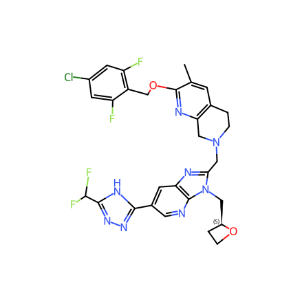 Cc1cc2c(nc1OCc1c(F)cc(Cl)cc1F)CN(Cc1nc3cc(-c4nnc(C(F)F)[nH]4)cnc3n1C[C@@H]1CCO1)CC2